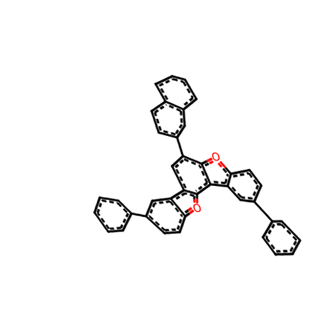 c1ccc(-c2ccc3oc4c(cc(-c5ccc6ccccc6c5)c5oc6ccc(-c7ccccc7)cc6c54)c3c2)cc1